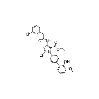 CCOC(=O)c1c(NC(=O)Cc2cccc(Cl)c2)cc(Cl)n1-c1ccc(-c2cccc(OC)c2O)cc1